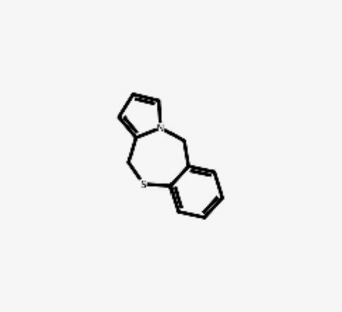 c1ccc2c(c1)Cn1cccc1CS2